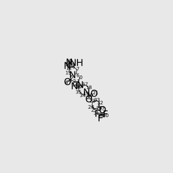 Cc1c(C(=O)N2CCc3[nH]nnc3C2)nc2n1CCN(C(=O)Oc1ccc(OC(F)(F)F)cc1)CC2